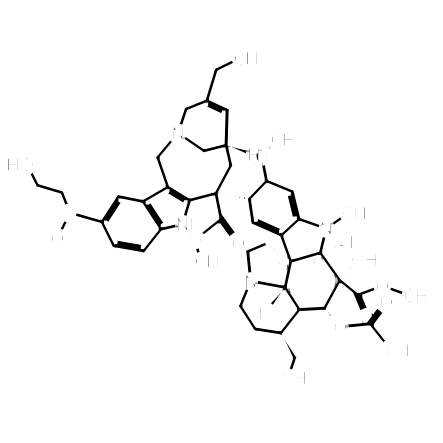 CCC1=C[C@H]2CN(C1)Cc1c([nH]c3ccc([S+]([O-])CCO)cc13)[C@@](C(=O)OC)(C1C=C3C(=CC1OC)N(C)[C@H]1[C@@](O)(C(=O)OC)[C@H](OC(C)=O)C4[C@@H](CC)CCN5CC[C@]31[C@H]45)C2